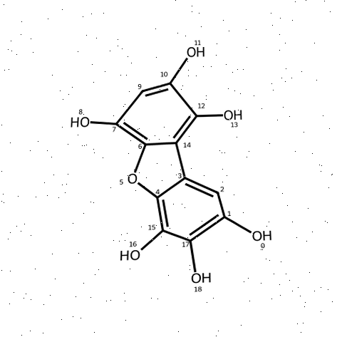 Oc1cc2c(oc3c(O)cc(O)c(O)c32)c(O)c1O